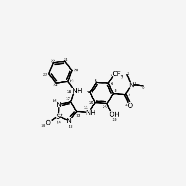 CN(C)C(=O)c1c(C(F)(F)F)ccc(Nc2n[s+]([O-])nc2Nc2ccccc2)c1O